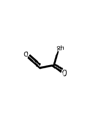 O=C[C](=O)[Rh]